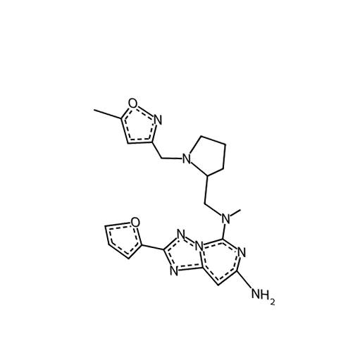 Cc1cc(CN2CCCC2CN(C)c2nc(N)cc3nc(-c4ccco4)nn23)no1